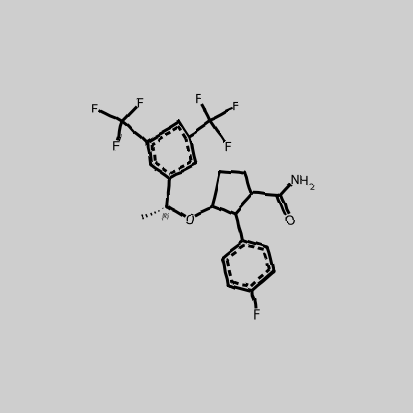 C[C@@H](OC1CCC(C(N)=O)C1c1ccc(F)cc1)c1cc(C(F)(F)F)cc(C(F)(F)F)c1